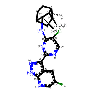 O=C(O)[C@@H]1C2CCC(CC2)[C@H]1Nc1nc(-c2n[nH]c3ncc(F)cc23)ncc1Cl